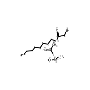 CC(C)CCCCCCCOC(=O)CS.CC(O)[S-].[CH3][Sn+][CH3]